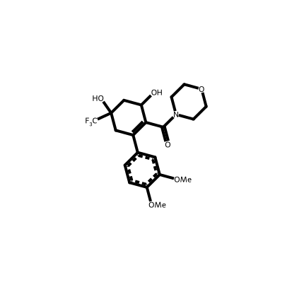 COc1ccc(C2=C(C(=O)N3CCOCC3)C(O)CC(O)(C(F)(F)F)C2)cc1OC